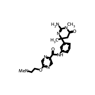 CNCCOc1cnc(C(=O)Nc2cccc(C3(C)CC(=O)N(C)C(N)=N3)c2)cn1